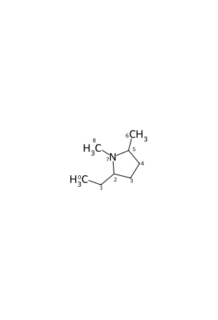 CCC1CCC(C)N1C